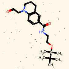 CC(C)(C)[Si](C)(C)OCCNC(=O)c1ccc2c(c1)CCCN2CC=O